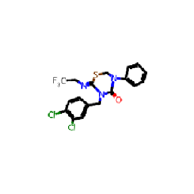 O=C1N(Cc2ccc(Cl)c(Cl)c2)C(=NCC(F)(F)F)SCN1c1ccccc1